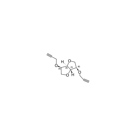 C#CCO[C@@H]1CO[C@H]2[C@H]1OC[C@H]2OCC#C